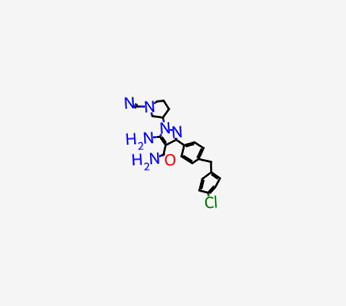 N#CN1CCCC(n2nc(-c3ccc(Cc4ccc(Cl)cc4)cc3)c(C(N)=O)c2N)C1